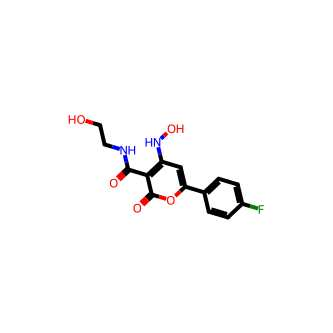 O=C(NCCO)c1c(NO)cc(-c2ccc(F)cc2)oc1=O